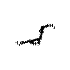 CCCCCCCCOC(=O)CCCCCCC/C(=C\CCO)CCCCCCCC(=O)Oc1cccc(CCCCC)c1